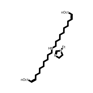 CCCCCCCC/C=C\CCCCCCCCNCCCCCCCC/C=C\CCCCCCCC.CCN1C=NCC1